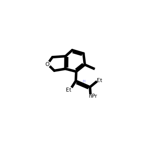 CCC/C(CC)=C(\CC)c1c(C)ccc2c1COC2